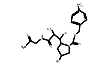 CC(C(=O)NCC(N)=O)C(S)C1CC(S)CN1C(=O)OCc1ccc([N+](=O)[O-])cc1